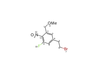 COCc1cc(CCBr)cc(F)c1[N+](=O)[O-]